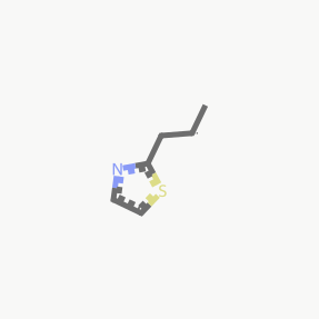 C[CH]Cc1nccs1